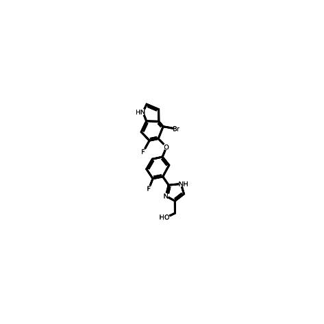 OCc1c[nH]c(-c2cc(Oc3c(F)cc4[nH]ccc4c3Br)ccc2F)n1